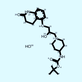 CC(C)(C)OC(=O)NC1CCN(CC(O)COc2cccc3c2CCC(=O)N3)CC1.Cl